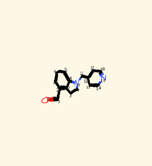 O=Cc1cccc2c1ccn2Cc1ccncc1